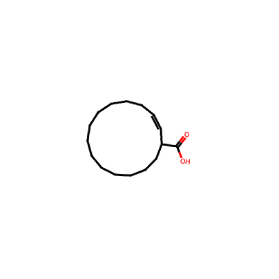 O=C(O)C1C=CCCCCCCCCCCCC1